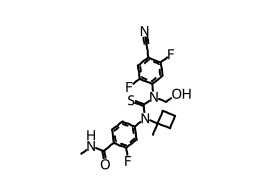 CNC(=O)c1ccc(N(C(=S)N(CO)c2cc(F)c(C#N)cc2F)C2(C)CCC2)cc1F